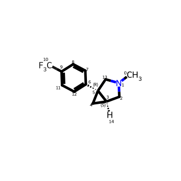 CN1C[C@H]2C[C@@]2(c2ccc(C(F)(F)F)cc2)C1